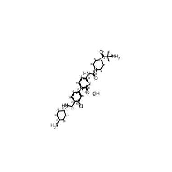 CC(C)(N)C(=O)N1CCN(C(=O)Nc2ccn(-c3ccc(CN[C@H]4CC[C@H](N)CC4)c(Cl)c3)c(=O)n2)CC1.Cl